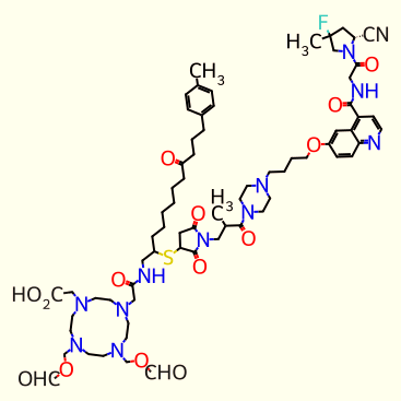 Cc1ccc(CCCC(=O)CCCCCCC(CNC(=O)CN2CCN(COC=O)CCN(COC=O)CCN(CC(=O)O)CC2)SC2CC(=O)N(CC(C)C(=O)N3CCN(CCCCOc4ccc5nccc(C(=O)NCC(=O)N6CC(C)(F)C[C@@H]6C#N)c5c4)CC3)C2=O)cc1